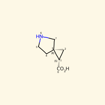 O=C(O)[C@H]1C[C@@]12CCNC2